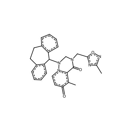 Cc1noc(CN2CN(C3c4ccccc4CCc4ccccc43)n3ccc(=O)c(C)c3C2=O)n1